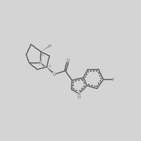 CN1C2CC[C@H]1C[C@@H](OC(=O)c1c[nH]c3cc(F)ccc13)C2